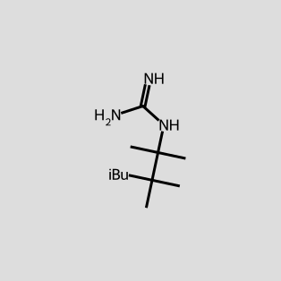 CCC(C)C(C)(C)C(C)(C)NC(=N)N